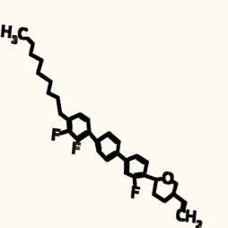 C=CC1CCC(c2ccc(-c3ccc(-c4ccc(CCCCCCCCC)c(F)c4F)cc3)cc2F)OC1